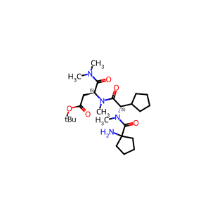 CN(C)C(=O)[C@H](CC(=O)OC(C)(C)C)N(C)C(=O)[C@H](C1CCCC1)N(C)C(=O)C1(N)CCCC1